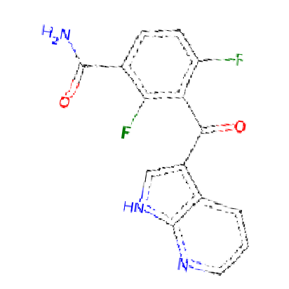 NC(=O)c1ccc(F)c(C(=O)c2c[nH]c3ncccc23)c1F